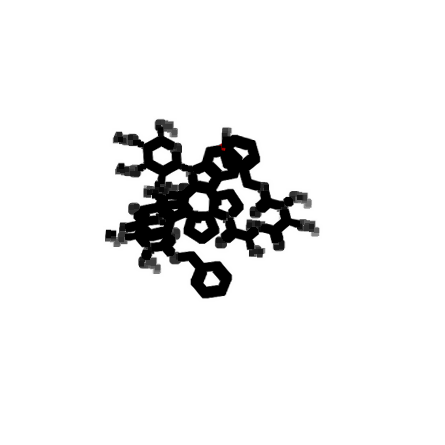 CC(=O)O[C@@H]1[C@H](OC(C)=O)[C@H](C)O[C@H](n2c(-c3[nH]c4cc(F)ccc4c3C[C@@H]3CCCN3C(=O)[C@@H](NC(=O)[C@H](C)N(C)C(=O)OCc3ccccc3)C(C)C)c(C[C@@H]3CCCN3C(=O)[C@@H](NC(=O)[C@H](C)N(C)C(=O)OCc3ccccc3)C(C)C)c3ccc(F)cc32)[C@H]1OC(C)=O